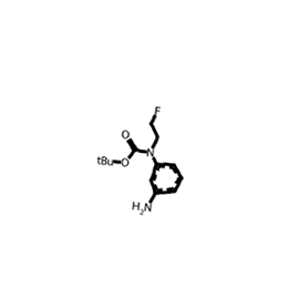 CC(C)(C)OC(=O)N(CCF)c1cccc(N)c1